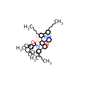 CCCCCc1ccc2[nH]c3c(-c4c5c(cc6oc7ccccc7c46)N(c4ccc([C@@H](C)CCC)cc4-c4ccccc4)c4c(oc6cc7c(cc46)C(C)(C)CCC7(C)C)B5)cc(CCCCC)cc3c2c1